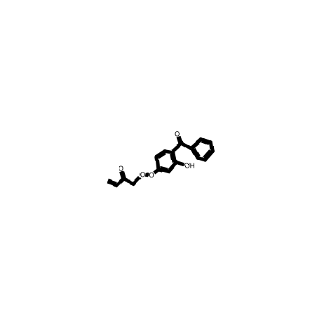 C=CC(=O)COOc1ccc(C(=O)c2ccccc2)c(O)c1